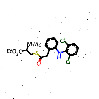 CCOC(=O)[C@H](CSC(=O)Cc1ccccc1Nc1c(Cl)cccc1Cl)NC(C)=O